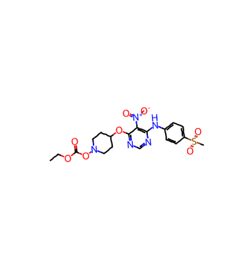 CCOC(=O)ON1CCC(Oc2ncnc(Nc3ccc(S(C)(=O)=O)cc3)c2[N+](=O)[O-])CC1